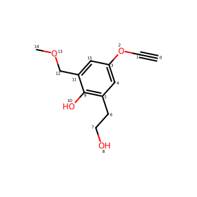 C#COc1cc(CCO)c(O)c(COC)c1